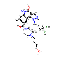 COCCCCN1CCN(C(=O)c2cc3c(cc2C)[nH]c(=O)c2cnn(CC4CC(F)(F)C4)c23)C[C@H]1C